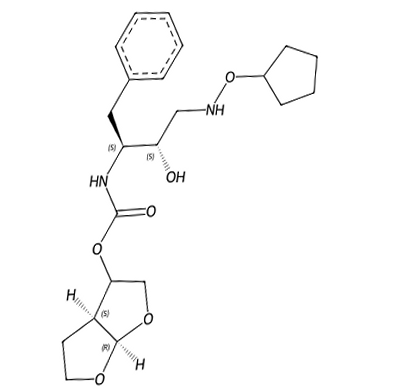 O=C(N[C@@H](Cc1ccccc1)[C@@H](O)CNOC1CCCC1)OC1CO[C@H]2OCC[C@@H]12